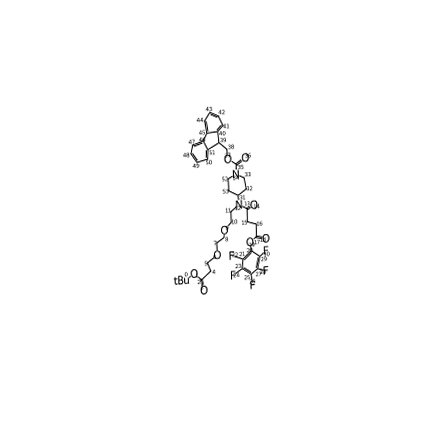 CC(C)(C)OC(=O)CCOCCOCCN(C(=O)CCC(=O)Oc1c(F)c(F)c(F)c(F)c1F)C1CCN(C(=O)OCC2c3ccccc3-c3ccccc32)CC1